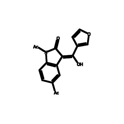 CC(=O)c1ccc2c(c1)/C(=C(\O)c1ccoc1)C(=O)N2C(C)=O